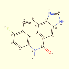 COc1cc(N(C)C(=O)c2cc(C)c3nc[nH]c3c2)ccc1F